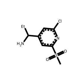 CCC(N)c1cc(Cl)nc(S(C)(=O)=O)c1